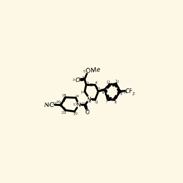 COC(=O)C1CC(c2ccc(C(F)(F)F)cc2)CN(C(=O)N2CCC(C#N)CC2)C1